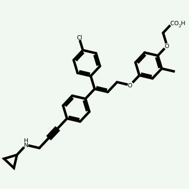 Cc1cc(OC/C=C(\c2ccc(Cl)cc2)c2ccc(C#CCNC3CC3)cc2)ccc1OCC(=O)O